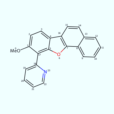 COc1ccc2c(oc3c4ccccc4ccc23)c1-c1ccccn1